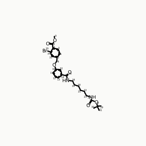 COC(=O)c1ccc(COc2cccc(C(=O)NCCCCCCNC(=O)OC(C)(C)C)c2)cc1Br